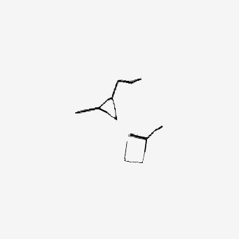 CCC1C(C)[C@H]1I1CCC1C